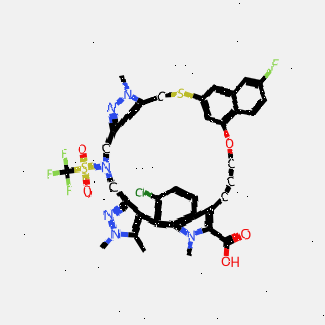 Cc1c2c(nn1C)CN(S(=O)(=O)C(F)(F)F)Cc1cc(n(C)n1)CSc1cc(c3ccc(F)cc3c1)OCCCc1c(C(=O)O)n(C)c3c-2c(Cl)ccc13